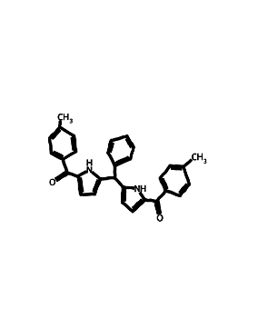 Cc1ccc(C(=O)c2ccc(C(c3ccccc3)c3ccc(C(=O)c4ccc(C)cc4)[nH]3)[nH]2)cc1